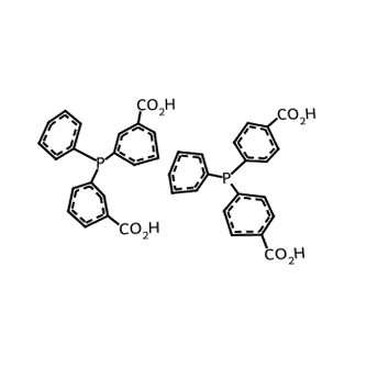 O=C(O)c1ccc(P(c2ccccc2)c2ccc(C(=O)O)cc2)cc1.O=C(O)c1cccc(P(c2ccccc2)c2cccc(C(=O)O)c2)c1